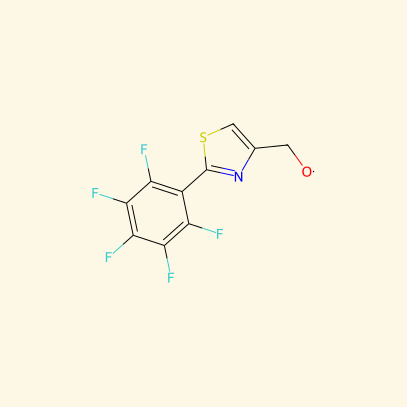 [O]Cc1csc(-c2c(F)c(F)c(F)c(F)c2F)n1